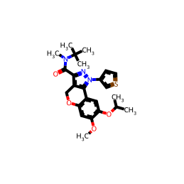 COc1cc2c(cc1OC(C)C)-c1c(c(C(=O)N(C)C(C)(C)C)nn1-c1ccsc1)CO2